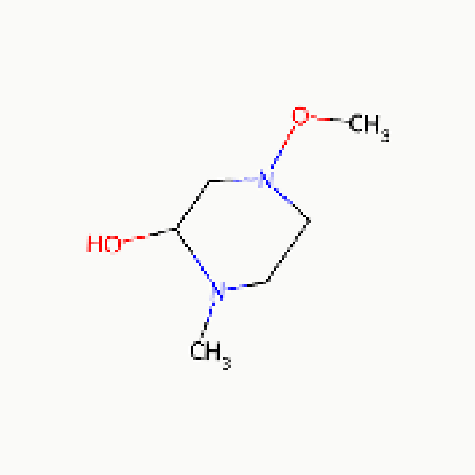 CON1CCN(C)C(O)C1